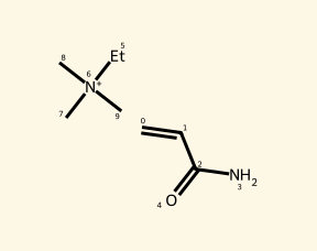 C=CC(N)=O.CC[N+](C)(C)C